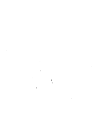 CCC[C@H](OCOC)N(C(=O)O)[C@@H](C)Cc1ccccc1I